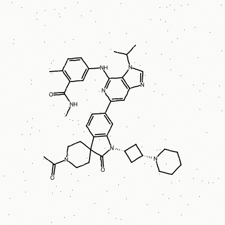 CNC(=O)c1cc(Nc2nc(-c3ccc4c(c3)N([C@H]3C[C@@H](N5CCCCC5)C3)C(=O)C43CCN(C(C)=O)CC3)cc3ncn(C(C)C)c23)ccc1C